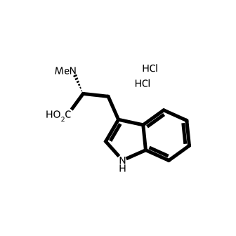 CN[C@H](Cc1c[nH]c2ccccc12)C(=O)O.Cl.Cl